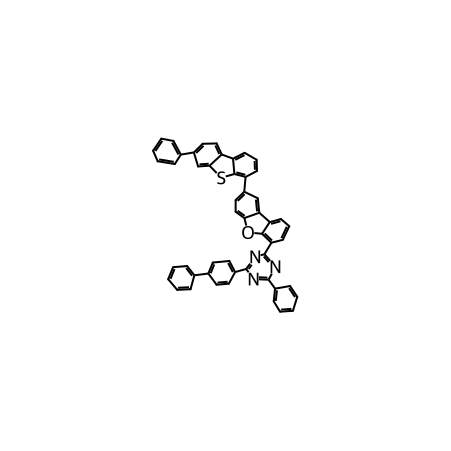 c1ccc(-c2ccc(-c3nc(-c4ccccc4)nc(-c4cccc5c4oc4ccc(-c6cccc7c6sc6cc(-c8ccccc8)ccc67)cc45)n3)cc2)cc1